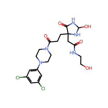 O=C(CC1(CCC(=O)N2CCN(c3cc(Cl)cc(Cl)c3)CC2)NC(O)NC1=O)NCCO